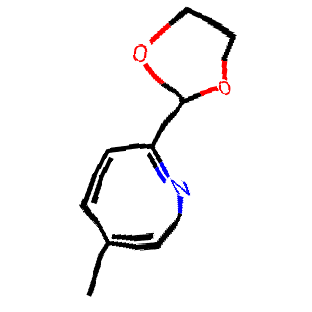 Cc1ccc(C2OCCO2)nc1